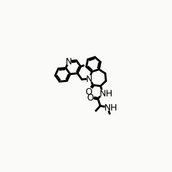 CNC(C)C(=O)NC1CCc2ccccc2N(Cc2c(C)cnc3ccccc23)C1=O